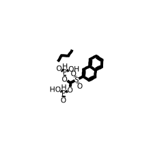 CCCC.O=[PH](O)OC(O[PH](=O)O)S(=O)(=O)c1ccc2ccccc2c1